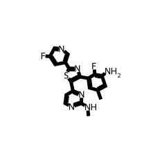 CNc1nccc(-c2sc(-c3cncc(F)c3)nc2-c2cc(C)cc(N)c2F)n1